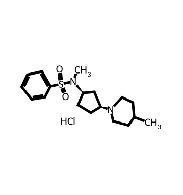 CC1CCN([C@H]2CC[C@@H](N(C)S(=O)(=O)c3ccccc3)C2)CC1.Cl